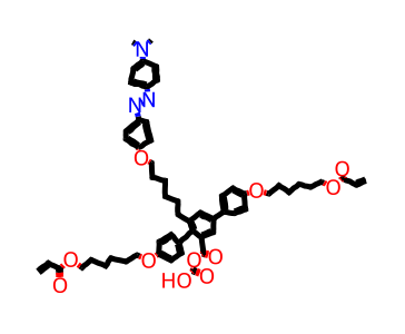 C=CC(=O)OCCCCCCOc1ccc(-c2cc(CCCCCCOc3ccc(N=Nc4ccc(N(C)C)cc4)cc3)c(-c3ccc(OCCCCCCOC(=O)C=C)cc3)c(C(=O)OC(=O)O)c2)cc1